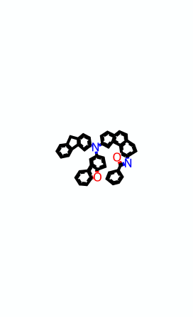 c1ccc(-c2nc3ccc4ccc5ccc(N(c6ccc7c(c6)-c6ccccc6C7)c6ccc7oc8ccccc8c7c6)cc5c4c3o2)cc1